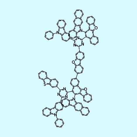 c1ccc(-n2c3ccccc3c3cc(-c4nc(-c5ccc6c(c5)oc5cc(-c7ccc8c(-c9nc(-c%10ccc%11c(c%10)sc%10ccccc%10%11)nc(-c%10ccc%11c(c%10)c%10ccccc%10n%11-c%10ccccc%10)n9)c(-n9c%10ccccc%10c%10cc%11ccccc%11cc%109)c9c%10ccccc%10oc9c8c7)ccc56)nc(-c5c(-n6c7ccccc7c7cc8ccccc8cc76)c6c7ccccc7oc6c6ccccc56)n4)ccc32)cc1